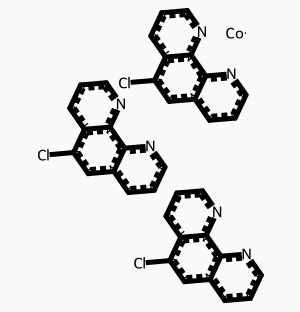 Clc1cc2cccnc2c2ncccc12.Clc1cc2cccnc2c2ncccc12.Clc1cc2cccnc2c2ncccc12.[Co]